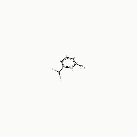 FC(F)c1[c]cnc(C(F)(F)F)n1